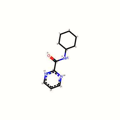 O=C(NC1CCCCC1)c1ncccn1